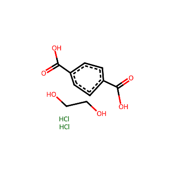 Cl.Cl.O=C(O)c1ccc(C(=O)O)cc1.OCCO